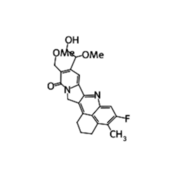 COCc1c(C(CO)OC)cc2n(c1=O)Cc1c-2nc2cc(F)c(C)c3c2c1CCC3